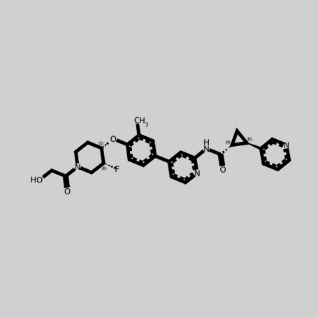 Cc1cc(-c2ccnc(NC(=O)[C@@H]3C[C@H]3c3cccnc3)c2)ccc1O[C@H]1CCN(C(=O)CO)C[C@H]1F